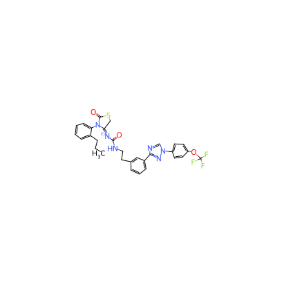 CCCc1ccccc1N1C(=O)SC/C1=N\C(=O)NCCc1cccc(-c2ncn(-c3ccc(OC(F)(F)F)cc3)n2)c1